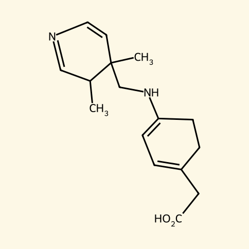 CC1C=NC=CC1(C)CNC1=CC=C(CC(=O)O)CC1